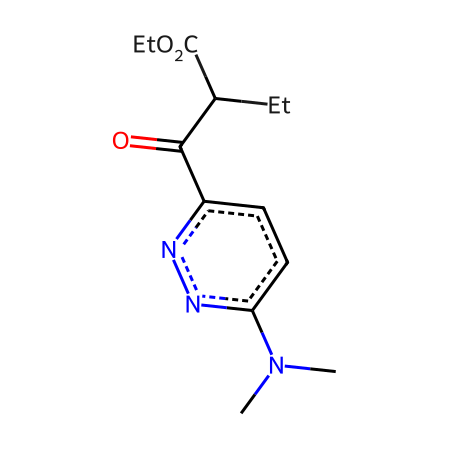 CCOC(=O)C(CC)C(=O)c1ccc(N(C)C)nn1